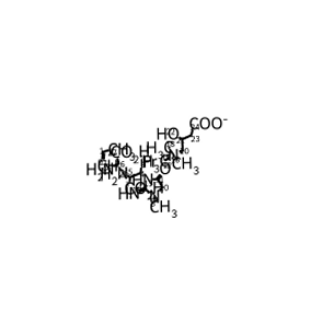 C=CC.CC(C)CC(N)C(=O)O.CN1CC(=O)NC1=N.C[N+](C)(C)CC(O)CC(=O)[O-].NCC(=O)O